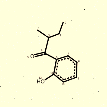 CCC(C)C(=O)c1cc[c]cc1O